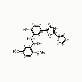 COc1ccc(C(F)(F)F)cc1C(=O)Nc1cc(-c2nnc(-c3ccco3)o2)ccc1F